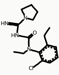 CCc1cccc(Cl)c1N(CC)C(=O)NC(=N)N1CCCC1